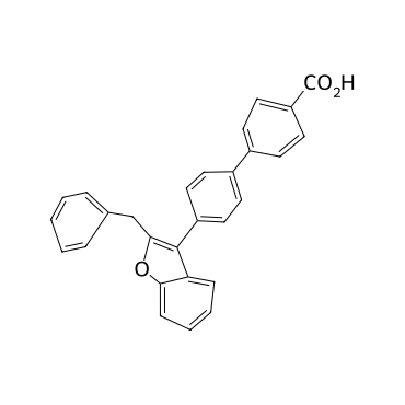 O=C(O)c1ccc(-c2ccc(-c3c(Cc4ccccc4)oc4ccccc34)cc2)cc1